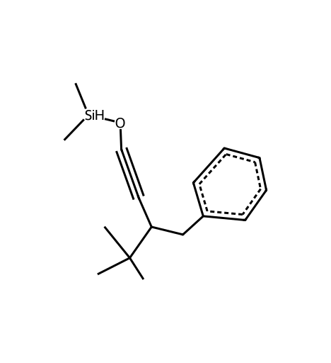 C[SiH](C)OC#CC(Cc1ccccc1)C(C)(C)C